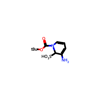 CC(C)(C)OC(=O)N1C=CC=C(N)C1S(=O)(=O)O